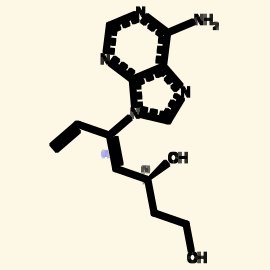 C=C/C(=C/[C@@H](O)CCO)n1cnc2c(N)ncnc21